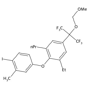 CCCc1cc(C(OCOC)(C(F)(F)F)C(F)(F)F)cc(CC)c1Oc1ccc(I)c(C)c1